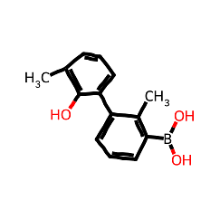 Cc1cccc(-c2cccc(B(O)O)c2C)c1O